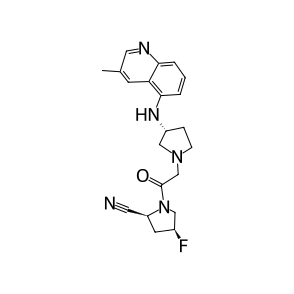 Cc1cnc2cccc(N[C@@H]3CCN(CC(=O)N4C[C@@H](F)C[C@H]4C#N)C3)c2c1